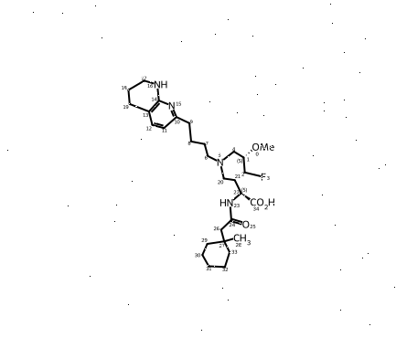 CO[C@H](CF)CN(CCCCc1ccc2c(n1)NCCC2)CC[C@H](NC(=O)CC1(C)CCCCC1)C(=O)O